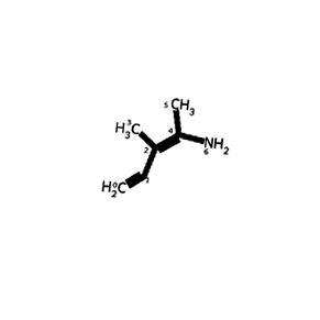 C=C/C(C)=C(/C)N